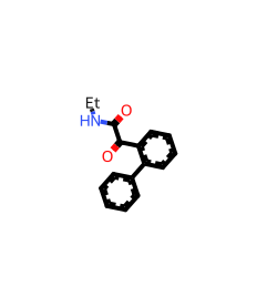 CCNC(=O)C(=O)c1ccccc1-c1ccccc1